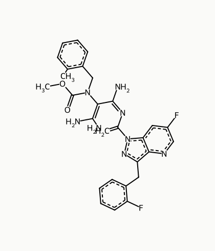 C=C(/N=C(/N)C(=C(N)N)N(Cc1ccccc1C)C(=O)OC)n1nc(Cc2ccccc2F)c2ncc(F)cc21